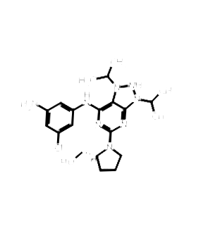 CC(C)N1NN(C(C)C)c2c(Nc3cc(N)cc(Cl)c3)nc(N3CCC[C@@H]3CO)nc21